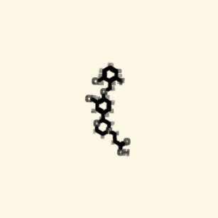 O=C(O)CCN1CCOC(c2ccc(OCc3c(F)cccc3Cl)c(Cl)c2)C1